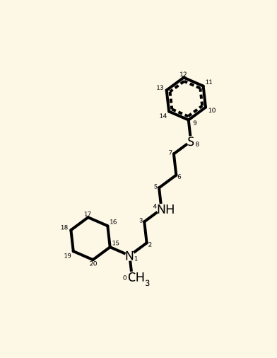 CN(CCNCCCSc1ccccc1)C1CCCCC1